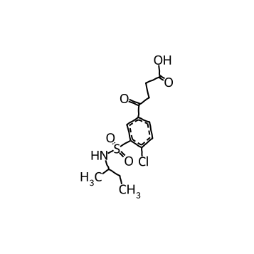 CCC(C)NS(=O)(=O)c1cc(C(=O)CCC(=O)O)ccc1Cl